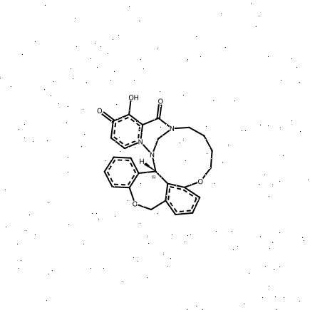 O=C1c2c(O)c(=O)ccn2N2CN1CCCCOc1cccc3c1[C@@H]2c1ccccc1OC3